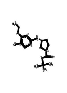 CCOc1nc(N[C@@H]2CCN(C(=O)OC(C)(C)C)C2)ncc1Cl